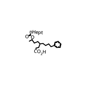 CCCCCCCC(=O)OC(C)CCC(CCCCc1ccccc1)CCC(=O)O